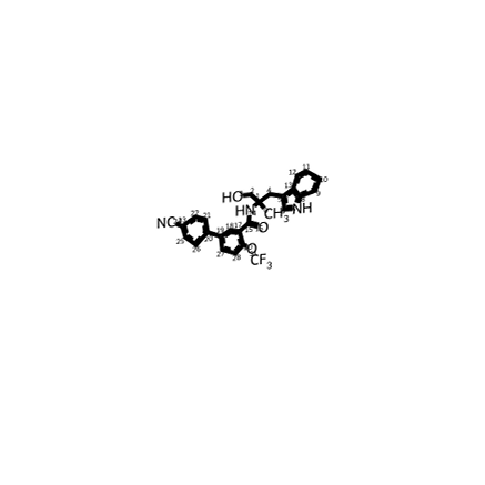 CC(CO)(Cc1c[nH]c2ccccc12)NC(=O)c1cc(-c2ccc(C#N)cc2)ccc1OC(F)(F)F